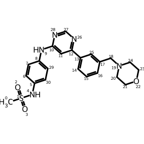 CS(=O)(=O)Nc1ccc(Nc2cc(-c3cccc(CN4CCOCC4)c3)ncn2)cc1